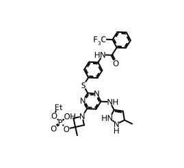 CCOP(=O)(O)OC1(C)CN(c2cc(NC3=CC(C)NN3)nc(Sc3ccc(NC(=O)c4ccccc4C(F)(F)F)cc3)n2)C1